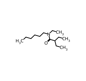 CCCCCCN(CC)C(=O)C(CC)CC